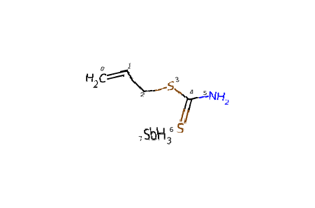 C=CCSC(N)=S.[SbH3]